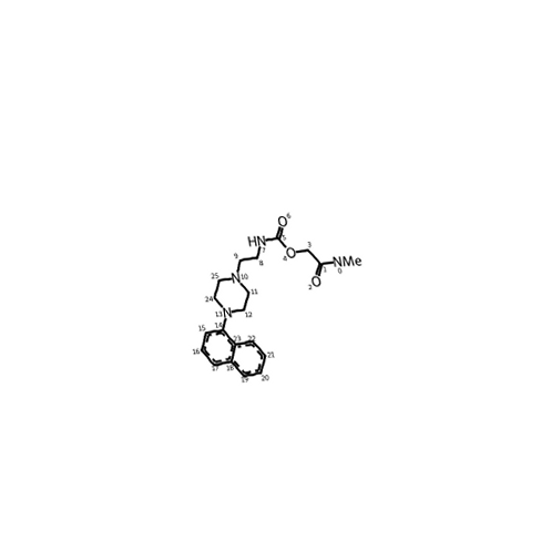 CNC(=O)COC(=O)NCCN1CCN(c2cccc3ccccc23)CC1